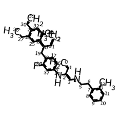 C=C/C(=C\NCCc1ccccc1C)Nc1ccc(CC(/C=C\C)=c2\cc(CC)c(C=C)cc2=C)c(F)c1